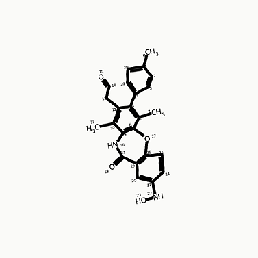 Cc1ccc(-c2c(C)c3c(c(C)c2CC=O)NC(=O)c2cc(NO)ccc2O3)cc1